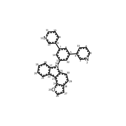 c1cncc(-c2cc(-c3cccnc3)cc(-n3c4ccccc4c4c5occc5ccc43)c2)c1